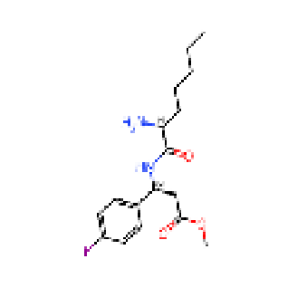 CCCCC[C@H](N)C(=O)N[C@@H](CC(=O)OC)c1ccc(I)cc1